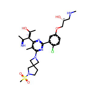 CNC[C@@H](O)COc1ccc(Cl)c(-c2nc(/C(C(C)=N)=C(\C)O)c(C)c(N3CC4(CCN(S(C)(=O)=O)C4)C3)n2)c1